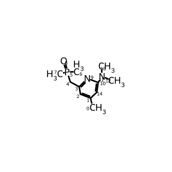 Cc1cc(CP(C)(C)=O)nc(N(C)C)c1